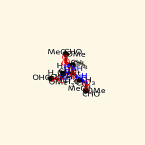 CCC(CCC(=O)NC1CC(C)(C)CC(C)(CNC(=O)OCCOc2c(OC)cc(C=O)cc2OC)C1)(COC(=O)NC1CC(C)(C)CC(C)(CNC(=O)OCCOc2cc(OC)c(C=O)c(OC)c2)C1)OCC(=O)NC1CC(C)(C)CC(C)(CNC(=O)OCCOc2c(OC)cc(C=O)cc2OC)C1